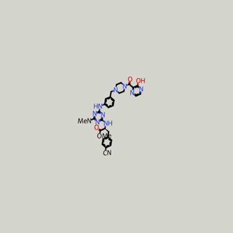 CNc1nc(Nc2cccc(CN3CCN(C(=O)c4nccnc4O)CC3)c2)nc(N[C@@H](Cc2ccc(C#N)cc2)C(=O)OC)n1